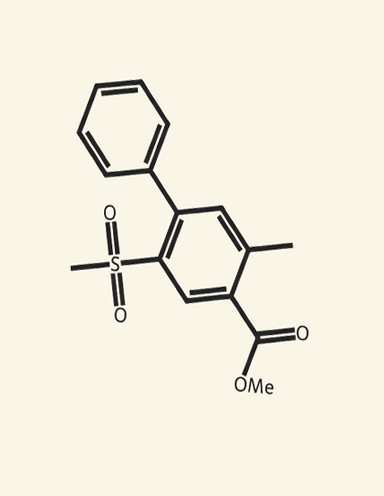 COC(=O)c1cc(S(C)(=O)=O)c(-c2ccccc2)cc1C